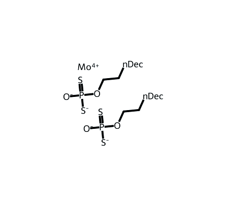 CCCCCCCCCCCCOP([O-])(=S)[S-].CCCCCCCCCCCCOP([O-])(=S)[S-].[Mo+4]